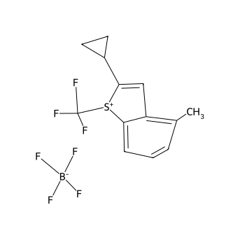 Cc1cccc2c1cc(C1CC1)[s+]2C(F)(F)F.F[B-](F)(F)F